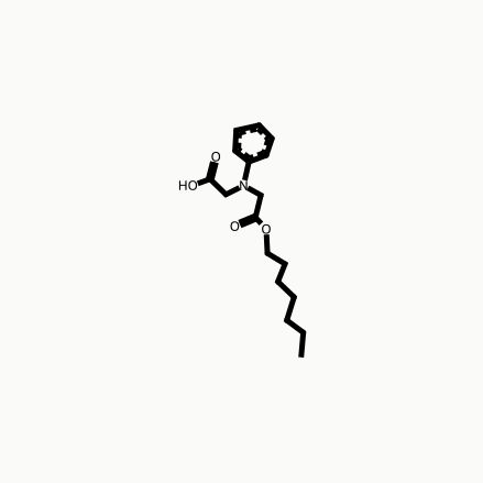 CCCCCCCOC(=O)CN(CC(=O)O)c1ccccc1